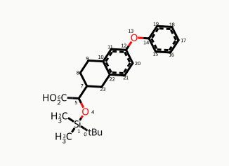 CC(C)(C)[Si](C)(C)OC(C(=O)O)C1CCc2cc(Oc3ccccc3)ccc2C1